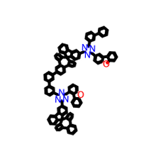 c1ccc(-c2cccc(-c3nc(-c4ccc5c(c4)-c4ccccc4C54c5ccccc5-c5ccc(-c6cccc(-c7cccc(-c8nc(-c9ccc%10c(c9)-c9ccccc9C%109c%10ccccc%10-c%10ccccc%10-c%10ccccc%109)nc(-c9cccc%10oc%11ccccc%11c9%10)n8)c7)c6)cc5-c5ccccc54)nc(-c4ccc5oc6ccccc6c5c4)n3)c2)cc1